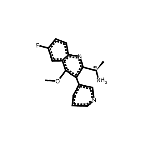 COc1c(-c2cccnc2)c([C@@H](C)N)nc2ccc(F)cc12